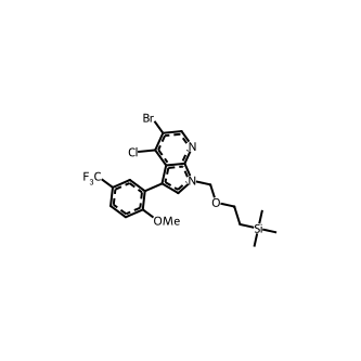 COc1ccc(C(F)(F)F)cc1-c1cn(COCC[Si](C)(C)C)c2ncc(Br)c(Cl)c12